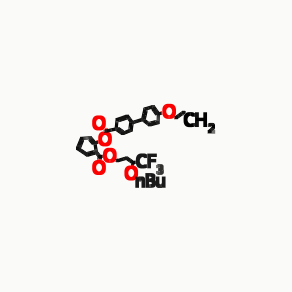 C=CCOc1ccc(-c2ccc(C(=O)Oc3ccccc3C(=O)OCCC(OCCCC)C(F)(F)F)cc2)cc1